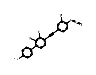 CCCCc1ccc(-c2ccc(C#Cc3ccc(N=C=S)c(F)c3)c(F)c2F)cc1